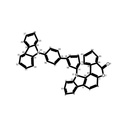 O=c1oc2ccc3c4ccccc4n(-c4cccc(-c5ccc(-n6c7ccccc7c7ccccc76)cc5)c4)c3c2c2ccccc12